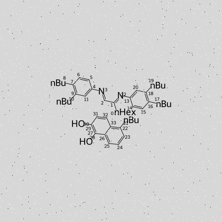 CCCCCCC(C=Nc1ccc(CCCC)c(CCCC)c1)=Nc1ccc(CCCC)c(CCCC)c1.CCCCc1cccc2c(O)c(O)ccc12